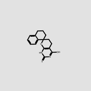 Oc1nc(=S)[nH]c2c1CCC1(CCCc3ccccc31)O2